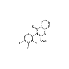 CSc1nc2ccccc2c(=S)n1-c1ccc(F)c(F)c1F